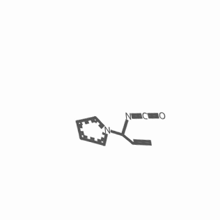 C=CC(N=C=O)n1cccc1